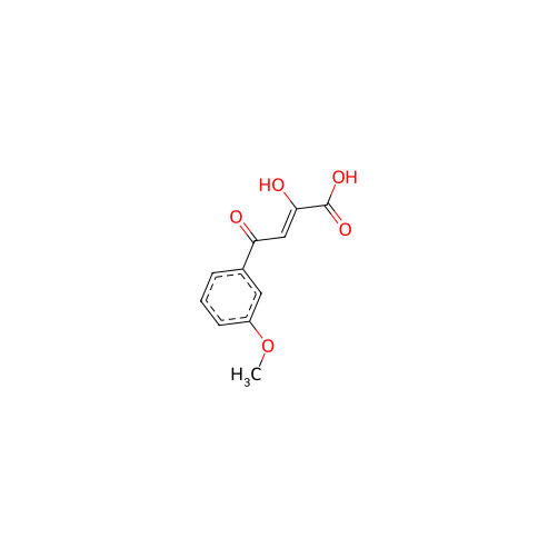 COc1cccc(C(=O)C=C(O)C(=O)O)c1